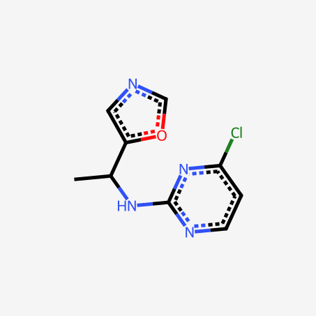 CC(Nc1nccc(Cl)n1)c1cnco1